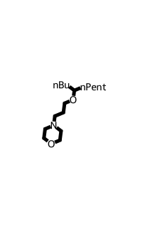 CCCCCC(CCCC)OCCCN1CCOCC1